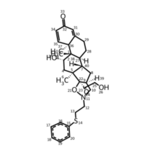 C[C@]12[C@@H](O)C[C@@]3(C)[C@@H](C[C@H]4CN(CCSc5ccccc5)O[C@]43C(=O)CO)[C@@H]1CCC1=CC(=O)C=C[C@@]12C